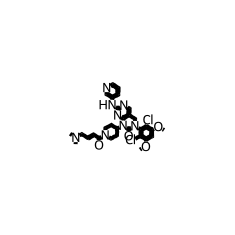 COc1cc(OC)c(Cl)c(N2Cc3cnc(Nc4cccnc4)nc3N(C3CCN(C(=O)/C=C/CN(C)C)CC3)C2=O)c1Cl